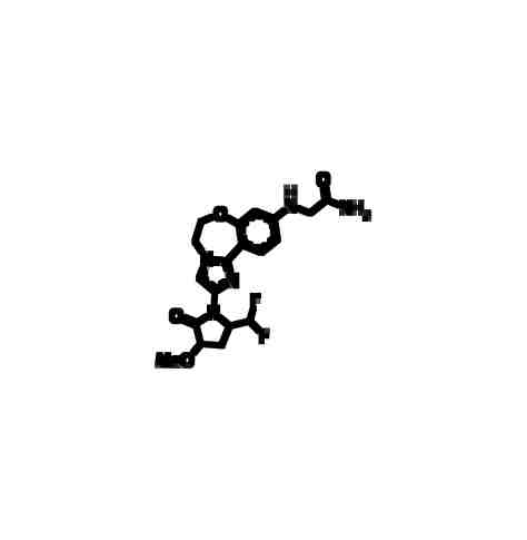 COC1CC(C(F)F)N(c2cn3c(n2)-c2ccc(NCC(N)=O)cc2OCC3)C1=O